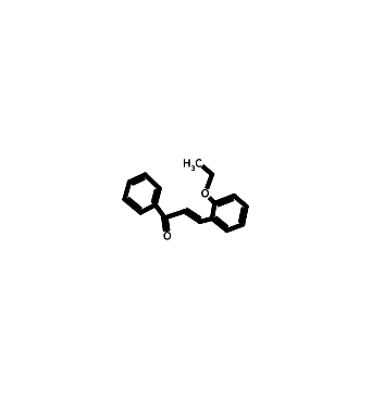 CCOc1ccccc1C=CC(=O)c1ccccc1